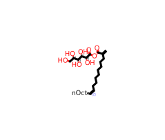 C=C(CCCCCCCC/C=C\CCCCCCCC)C(=O)OC(=O)[C@H](O)[C@@H](O)[C@H](O)[C@H](O)CO